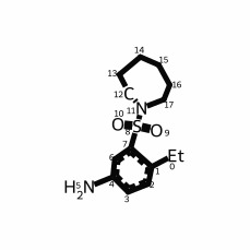 CCc1ccc(N)cc1S(=O)(=O)N1CCCCCC1